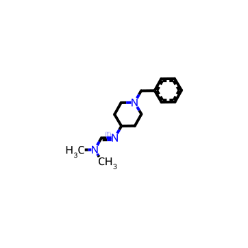 CN(C)/C=N/C1CCN(Cc2ccccc2)CC1